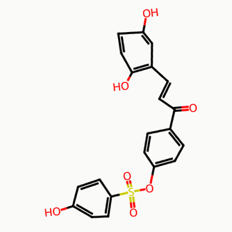 O=C(/C=C/c1cc(O)ccc1O)c1ccc(OS(=O)(=O)c2ccc(O)cc2)cc1